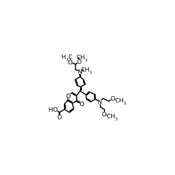 COCCN(CCOC)c1ccc(C(=C2C=CC(=[N+](C)CC(OC)OC)C=C2)c2coc3cc(C(=O)O)ccc3c2=O)cc1